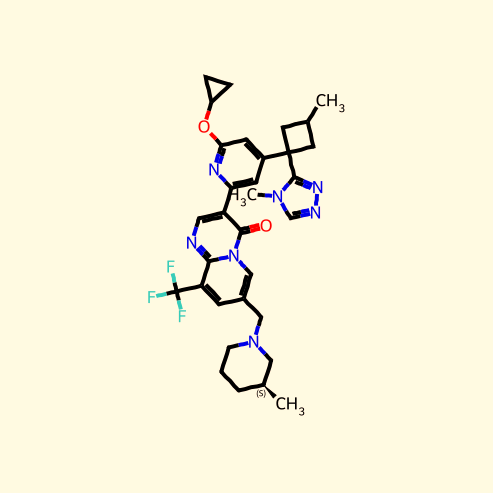 CC1CC(c2cc(OC3CC3)nc(-c3cnc4c(C(F)(F)F)cc(CN5CCC[C@H](C)C5)cn4c3=O)c2)(c2nncn2C)C1